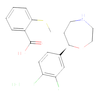 Cl.O=C(O)c1ccccc1SC[C@@H]1CNCCO[C@H]1c1ccc(Cl)c(Cl)c1